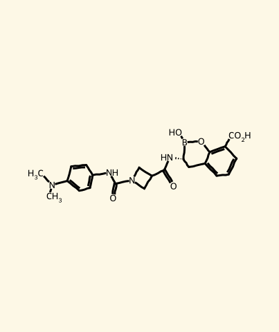 CN(C)c1ccc(NC(=O)N2CC(C(=O)N[C@H]3Cc4cccc(C(=O)O)c4OB3O)C2)cc1